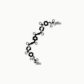 CC(C)(C)OC(=O)NC[C@H]1CC[C@H](C(=O)N2CCN(C(=O)C#CC(=O)c3ccc(C(=O)C#CC(=O)N4CCN(C(=O)[C@H]5CC[C@H](CNC(=O)OC(C)(C)C)CC5)CC4)cc3)CC2)CC1